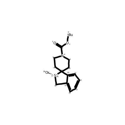 CC(C)(C)OC(=O)N1CCC2(CC1)c1ccccc1C[S@+]2[O-]